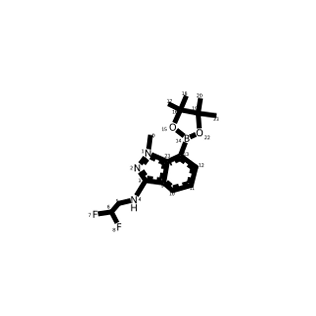 Cn1nc(NCC(F)F)c2cccc(B3OC(C)(C)C(C)(C)O3)c21